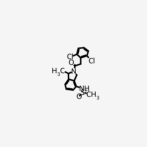 CC1c2cccc(N[S+](C)[O-])c2CN1C(=O)Cc1c(Cl)cccc1Cl